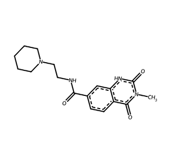 Cn1c(=O)[nH]c2cc(C(=O)NCCN3CCCCC3)ccc2c1=O